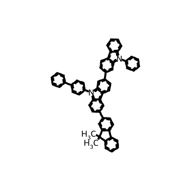 CC1(C)c2ccccc2-c2ccc(-c3ccc4c(c3)c3ccc(-c5ccc6c7ccccc7n(-c7ccccc7)c6c5)cc3n4-c3ccc(-c4ccccc4)cc3)cc21